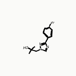 CC(C)c1ccc(-c2ncn(CC(C)(C)O)n2)cc1